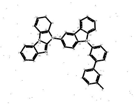 Cc1cccc(-c2cccc(-n3c4ccccc4c4cc(-n5c6c(n7c8ccccc8nc57)C=CCC6)ccc43)c2)c1